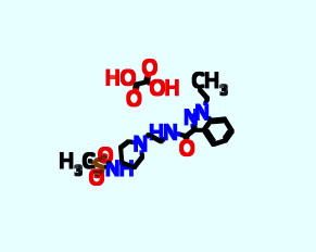 CCCn1nc(C(=O)NCCN2CCC(NS(C)(=O)=O)CC2)c2ccccc21.O=C(O)C(=O)O